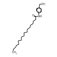 CCCCCCCCCCCCCCCCCC(=O)Nc1ccc(CO)cc1